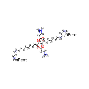 CCCCC/C=C\C/C=C\CCCCCCCCC(OC(=O)CCN(C)C)C(CCCCCCCC/C=C\C/C=C\CCCCC)OC(=O)CCN(C)C